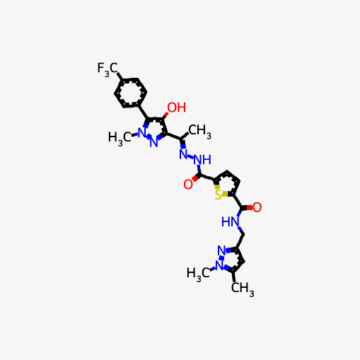 C/C(=N\NC(=O)c1ccc(C(=O)NCc2cc(C)n(C)n2)s1)c1nn(C)c(-c2ccc(C(F)(F)F)cc2)c1O